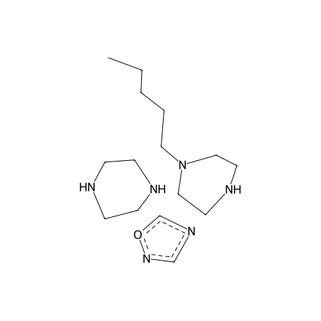 C1CNCCN1.CCCCCN1CCNCC1.c1ncon1